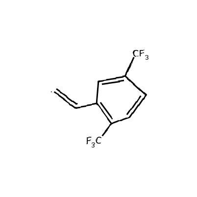 [CH]=Cc1cc(C(F)(F)F)ccc1C(F)(F)F